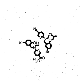 C=C(Cl)COc1ccc(Br)cc1CN(CC)c1ccc(C#N)cn1.CCN(Cc1cc(Br)ccc1O)c1ccc(C(N)=O)cn1